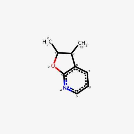 CC1Oc2ncccc2C1C